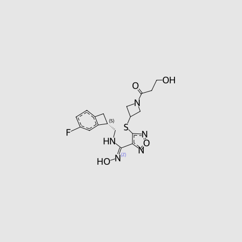 O=C(CCO)N1CC(Sc2nonc2/C(=N/O)NC[C@H]2Cc3ccc(F)cc32)C1